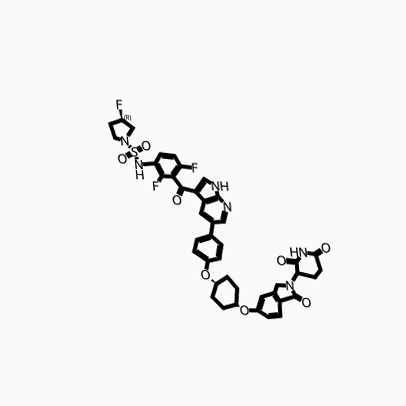 O=C1CCC(N2Cc3cc(O[C@H]4CC[C@@H](Oc5ccc(-c6cnc7[nH]cc(C(=O)c8c(F)ccc(NS(=O)(=O)N9CC[C@@H](F)C9)c8F)c7c6)cc5)CC4)ccc3C2=O)C(=O)N1